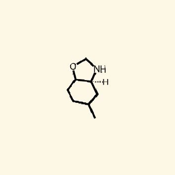 CC1CCC2OCN[C@H]2C1